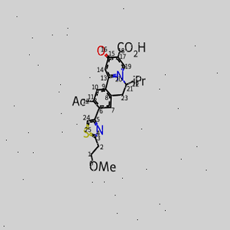 COCCc1nc(-c2cc3c(cc2C(C)=O)-c2cc(=O)c(C(=O)O)cn2C(C(C)C)C3)cs1